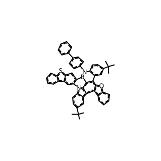 CC(C)(C)c1ccc2c(c1)-c1c3c4c(c5cc(C(C)(C)C)ccc5n4-c4cc5c(cc4B3N2c2ccc(-c3ccccc3)cc2)sc2ccccc25)c2c1oc1ccccc12